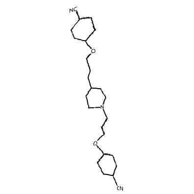 N#CC1CCC(OCCCC2CCN(CCCOC3CCC(C#N)CC3)CC2)CC1